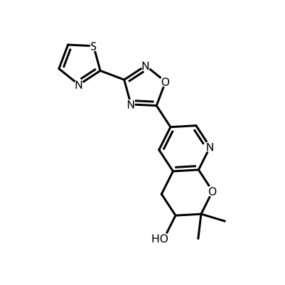 CC1(C)Oc2ncc(-c3nc(-c4nccs4)no3)cc2CC1O